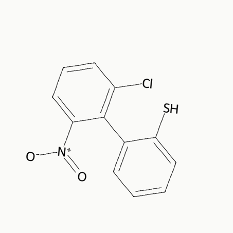 O=[N+]([O-])c1cccc(Cl)c1-c1ccccc1S